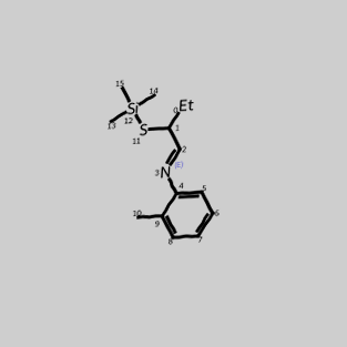 CCC(/C=N/c1ccccc1C)S[Si](C)(C)C